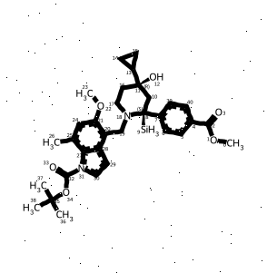 COC(=O)c1ccc([C@@]2([SiH3])C[C@@](O)(C3CC3)CCN2Cc2c(OC)cc(C)c3c2ccn3C(=O)OC(C)(C)C)cc1